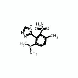 Cc1ccc(N(C)C)c(-c2nnc[nH]2)c1S(N)(=O)=O